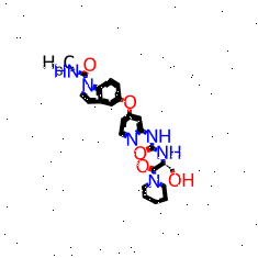 CNC(=O)n1ccc2cc(Oc3ccnc(NC(=O)N[C@H](CO)C(=O)N4CCCCC4)c3)ccc21